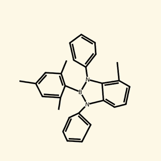 Cc1cc(C)c(B2N(c3ccccc3)c3cccc(C)c3N2c2ccccc2)c(C)c1